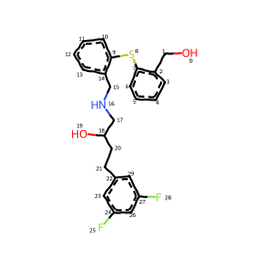 OCc1ccccc1Sc1ccccc1CNCC(O)CCc1cc(F)cc(F)c1